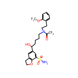 NS(=O)(=O)c1cc(C(O)CCCCN(CCc2ccccc2OC(F)(F)F)C(=O)C(F)(F)F)cc2c1OCC2